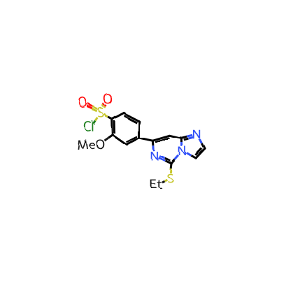 CCSc1nc(-c2ccc(S(=O)(=O)Cl)c(OC)c2)cc2nccn12